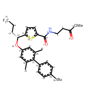 COC(=O)CCNC(=O)c1ccc([C@@H](CCC(F)(F)F)Oc2cc(C)c(-c3ccc(C(C)(C)C)cc3)c(C)c2)s1